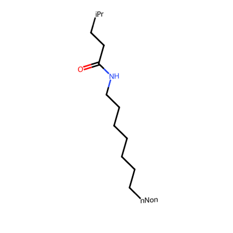 CCCCCCCCCCCCCCCCNC(=O)CCC(C)C